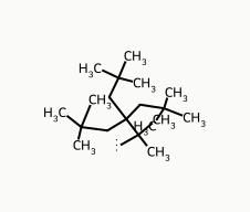 [C]C(C)(C)C(CC(C)(C)C)(CC(C)(C)C)CC(C)(C)C